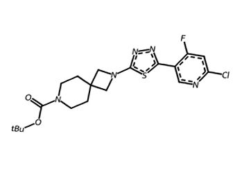 CC(C)(C)OC(=O)N1CCC2(CC1)CN(c1nnc(-c3cnc(Cl)cc3F)s1)C2